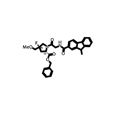 COC[C@@]1(F)C[C@@H](C(=O)OCc2ccccc2)N(C(=O)CNC(=O)c2ccc3c(c2)C(C)c2ccccc2-3)C1